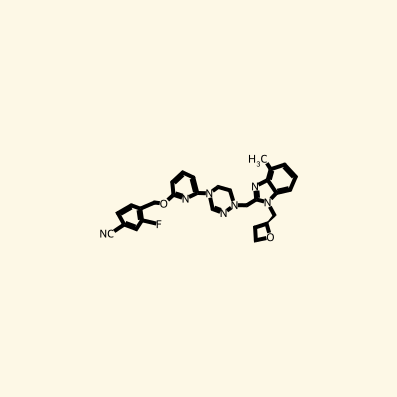 Cc1cccc2c1nc(CN1CCN(c3cccc(OCc4ccc(C#N)cc4F)n3)C=N1)n2C[C@@H]1CCO1